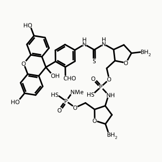 BC1CC(NC(=S)Nc2ccc(C3(O)c4ccc(O)cc4Oc4cc(O)ccc43)c(C=O)c2)C(COP(=O)(S)NC2CC(B)OC2COP(=O)(S)NC)O1